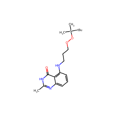 Cc1nc2cccc(NCCCOO[Si](C)(C)C(C)(C)C)c2c(=O)[nH]1